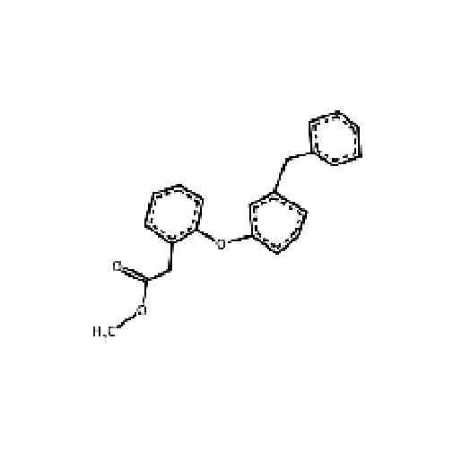 COC(=O)Cc1ccccc1Oc1cccc(Cc2ccccc2)c1